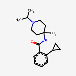 CC(C)N1CCC(C)(NC(=O)c2ccccc2C2CC2)CC1